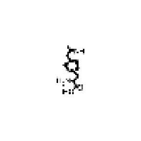 CC(=N)Cc1ccc(CC(N)C(=O)O)cc1